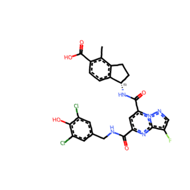 Cc1c(C(=O)O)ccc2c1CC[C@@H]2NC(=O)c1cc(C(=O)NCc2cc(Cl)c(O)c(Cl)c2)nc2c(F)cnn12